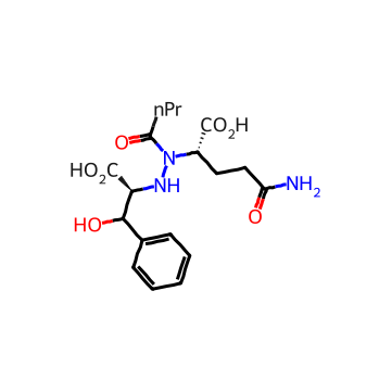 CCCC(=O)N(N[C@H](C(=O)O)C(O)c1ccccc1)[C@@H](CCC(N)=O)C(=O)O